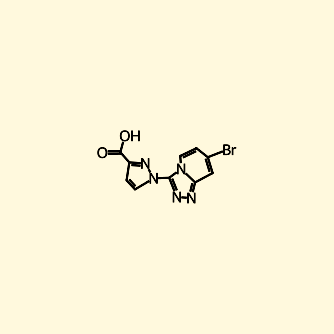 O=C(O)c1ccn(-c2nnc3cc(Br)ccn23)n1